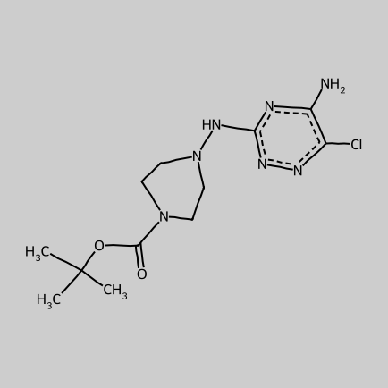 CC(C)(C)OC(=O)N1CCN(Nc2nnc(Cl)c(N)n2)CC1